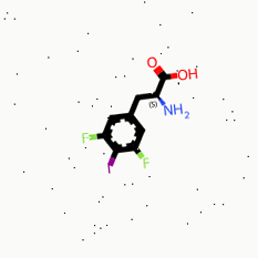 N[C@@H](Cc1cc(F)c(I)c(F)c1)C(=O)O